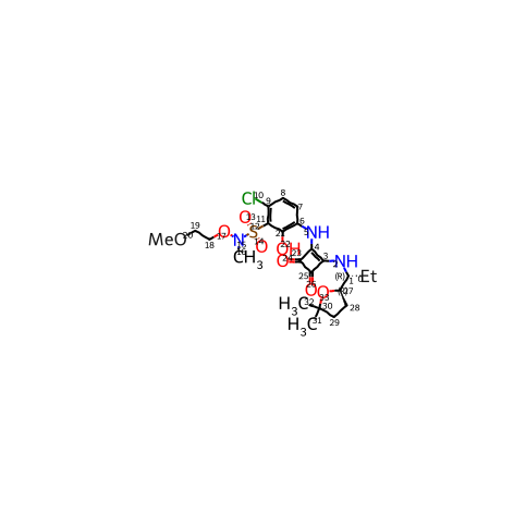 CC[C@@H](Nc1c(Nc2ccc(Cl)c(S(=O)(=O)N(C)OCCOC)c2O)c(=O)c1=O)[C@H]1CCC(C)(C)O1